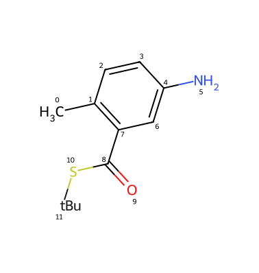 Cc1ccc(N)cc1C(=O)SC(C)(C)C